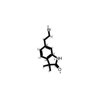 CC1(C)C(=O)Nc2cc(CCBr)ccc21